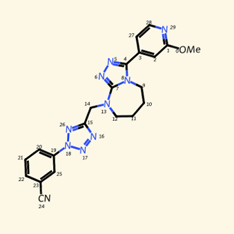 COc1cc(-c2nnc3n2CCCCN3Cc2nnn(-c3cccc(C#N)c3)n2)ccn1